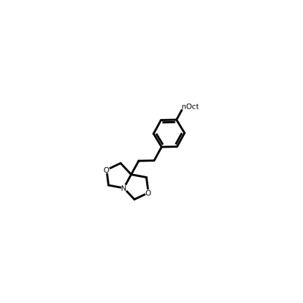 CCCCCCCCc1ccc(CCC23COCN2COC3)cc1